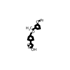 CC(C)Oc1cccc(C(C)OCc2ccc(-c3cc(O)no3)cc2)c1